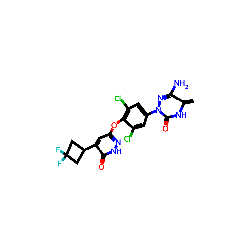 C=C1NC(=O)N(c2cc(Cl)c(Oc3cc(C4CC(F)(F)C4)c(=O)[nH]n3)c(Cl)c2)N=C1N